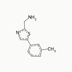 Cc1cccc(-c2cnc(CN)s2)c1